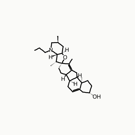 CCCN1C[C@@H](C)C[C@H]2O[C@]3(CC[C@@H]4C(=C3C)C[C@H]3[C@H]4CC=C4C[C@@H](O)CC[C@@]43C)[C@H](C)[C@@H]21